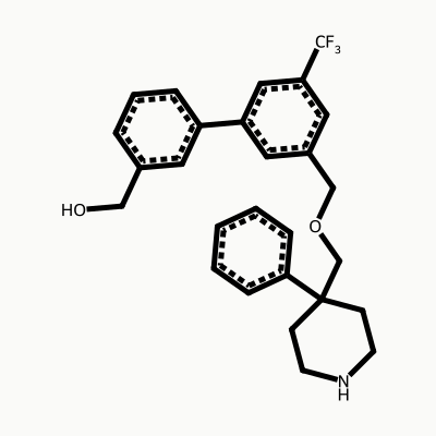 OCc1cccc(-c2cc(COCC3(c4ccccc4)CCNCC3)cc(C(F)(F)F)c2)c1